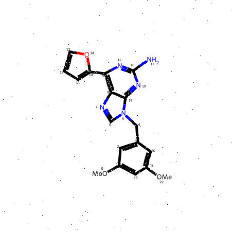 COc1cc(Cn2cnc3c(-c4ccco4)nc(N)nc32)cc(OC)c1